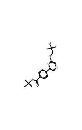 CC(C)(C)OC(=O)c1ccc(-c2cncc(OCC(F)(F)F)n2)cc1